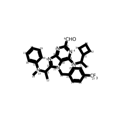 CC(Nc1nc(C=O)nc2nc(C(C)N(C)c3ccccc3)n(Cc3ccc(C(F)(F)F)cc3)c12)C1CCC1